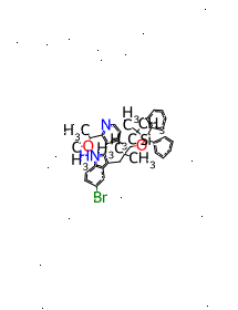 COC(C)c1ncccc1-c1[nH]c2ccc(Br)cc2c1CC(C)(C)CO[Si](c1ccccc1)(c1ccccc1)C(C)(C)C